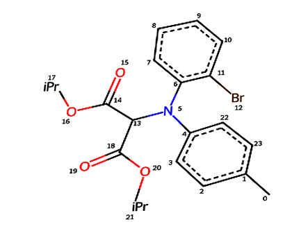 Cc1ccc(N(c2ccccc2Br)C(C(=O)OC(C)C)C(=O)OC(C)C)cc1